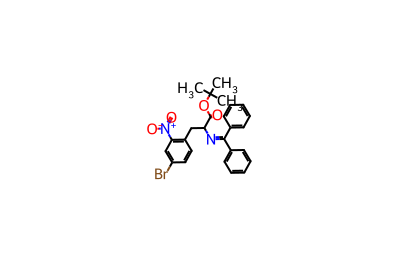 CC(C)(C)OC(=O)C(Cc1ccc(Br)cc1[N+](=O)[O-])N=C(c1ccccc1)c1ccccc1